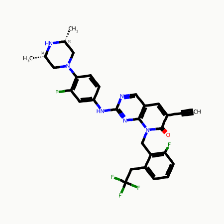 C#Cc1cc2cnc(Nc3ccc(N4C[C@@H](C)N[C@@H](C)C4)c(F)c3)nc2n(Cc2c(F)cccc2CC(F)(F)F)c1=O